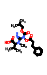 CC(C)COC(=O)N(OC(=O)CCc1ccccc1)C(=N)N(C)C(C(=O)O)C(C)C